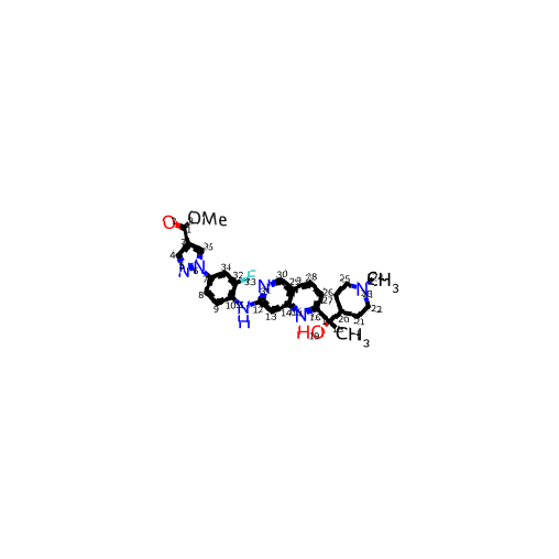 COC(=O)c1cnn(-c2ccc(Nc3cc4nc(C(C)(O)C5CCN(C)CC5)ccc4cn3)c(F)c2)c1